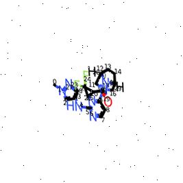 Cn1cc(Nc2nccc(N3C[C@H]4CC[C@@H](C3)N4C(=O)C3CC3(F)F)n2)cn1